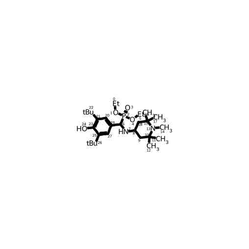 CCOP(=O)(OCC)C(NC1CC(C)(C)N(C)C(C)(C)C1)c1cc(C(C)(C)C)c(O)c(C(C)(C)C)c1